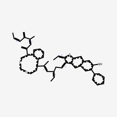 C=C(/C=C\C)/C(C)=C\C(=C)c1ccccccc(/C(C)=C/C(=C\C)C/C=c2\c(=C/C)sc3cc4cc(S)c(-c5ccccc5)cc4cc23)c2ccccc12